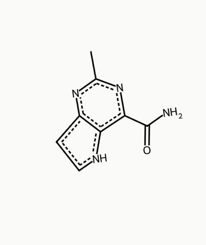 Cc1nc(C(N)=O)c2[nH]ccc2n1